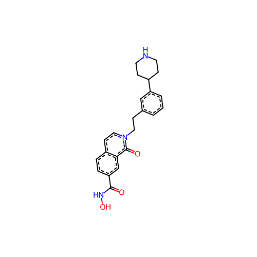 O=C(NO)c1ccc2ccn(CCc3cccc(C4CCNCC4)c3)c(=O)c2c1